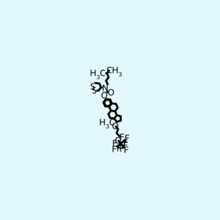 CC(C)CCCN(C(=O)Oc1ccc2c(c1)CCC1C2CCC2(C)C(OCCCOC(C(F)(F)F)(C(F)(F)F)C(F)(F)F)CCC12)C1CCSSC1